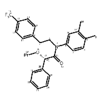 Cc1ccc(N(CCc2ccc(C(F)(F)F)cc2)C(=O)[C@@H](OC(C)C)c2ccccc2)cc1C